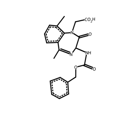 CC1=NC(NC(=O)OCc2ccccc2)C(=O)N(CC(=O)O)c2c(C)cccc21